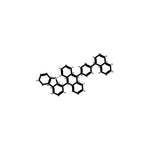 C1=Cc2sc3c(-c4c5ccccc5c(-c5ccc(-c6cccc7ccccc67)cc5)c5ccccc45)cccc3c2CC1